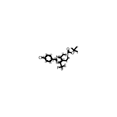 CC(C)(C)OC(=O)N1CCc2c(nc(-c3ccc(Cl)cc3)nc2C(F)(F)F)C1